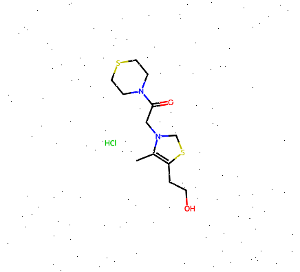 CC1=C(CCO)SCN1CC(=O)N1CCSCC1.Cl